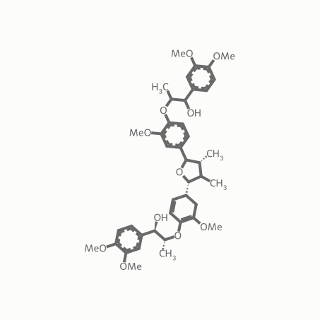 COC1=C(O[C@H](C)[C@H](O)c2ccc(OC)c(OC)c2)C=CC([C@@H]2OC(c3ccc(OC(C)C(O)c4ccc(OC)c(OC)c4)c(OC)c3)[C@H](C)C2C)C1